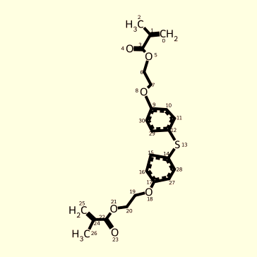 C=C(C)C(=O)OCCOc1ccc(Sc2ccc(OCCOC(=O)C(=C)C)cc2)cc1